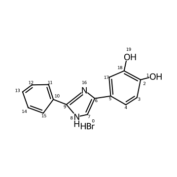 Br.Oc1ccc(-c2c[nH]c(-c3ccccc3)n2)cc1O